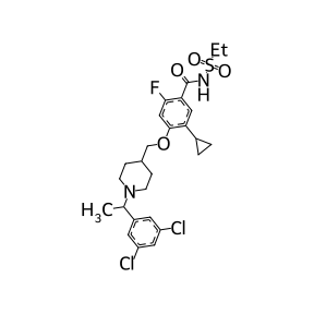 CCS(=O)(=O)NC(=O)c1cc(C2CC2)c(OCC2CCN(C(C)c3cc(Cl)cc(Cl)c3)CC2)cc1F